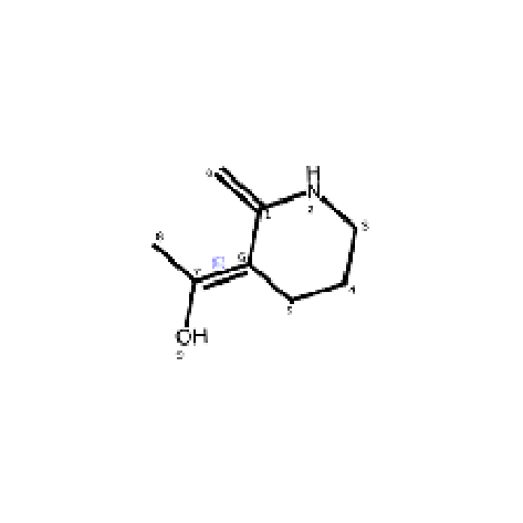 C=C1NCCC/C1=C(/C)O